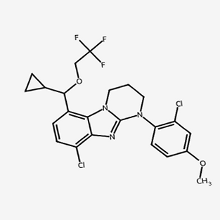 COc1ccc(N2CCCn3c2nc2c(Cl)ccc(C(OCC(F)(F)F)C4CC4)c23)c(Cl)c1